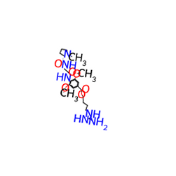 COc1cc(C(=O)OCCCCNC(=N)N)cc(OC)c1NC(=O)CNC(=O)[C@@H]1CCCN1C